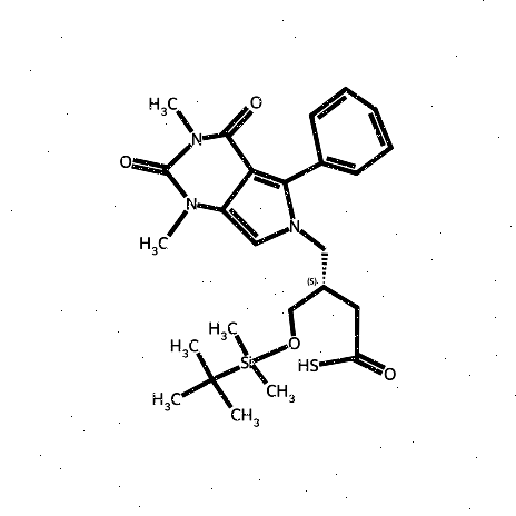 Cn1c(=O)c2c(-c3ccccc3)n(C[C@@H](CO[Si](C)(C)C(C)(C)C)CC(=O)S)cc2n(C)c1=O